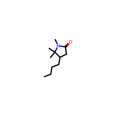 CCCCC1CC(=O)N(C)C1(C)C